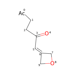 CC(=O)CCC(=O)C=C1COC1